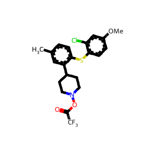 COc1ccc(Sc2ccc(C)cc2C2CCN(OC(=O)C(F)(F)F)CC2)c(Cl)c1